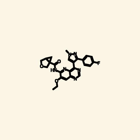 CCOc1cc2ncnc(-c3cn(C)nc3-c3ccc(F)cc3)c2nc1NC(=O)C12COCC1C2